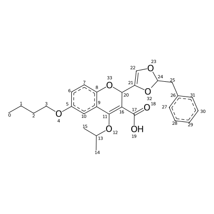 CCCCOc1ccc2c(c1)C(OC(C)C)=C(C(=O)O)C(C1=COC(Cc3ccccc3)O1)O2